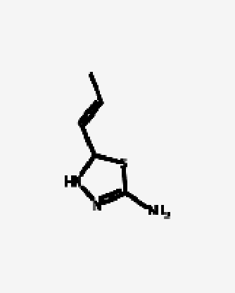 CC=CC1NN=C(N)S1